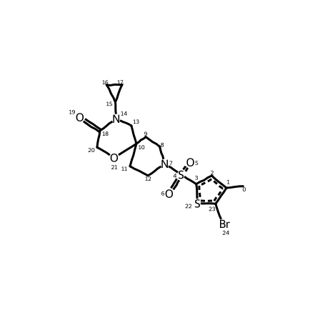 Cc1cc(S(=O)(=O)N2CCC3(CC2)CN(C2CC2)C(=O)CO3)sc1Br